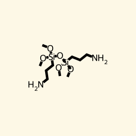 CO[Si](CCCN)(OC)O[Si](CCCN)(OC)OC